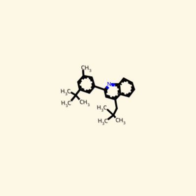 Cc1cc(-c2cc(CC(C)(C)C)c3ccccc3n2)cc(C(C)(C)C)c1